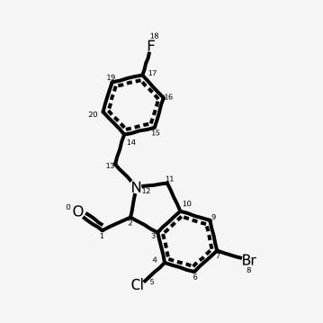 O=CC1c2c(Cl)cc(Br)cc2CN1Cc1ccc(F)cc1